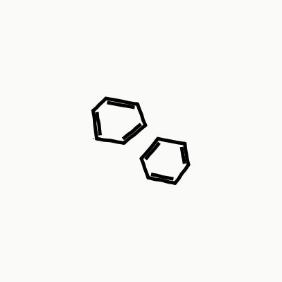 [c]1ccccc1.c1ccccc1